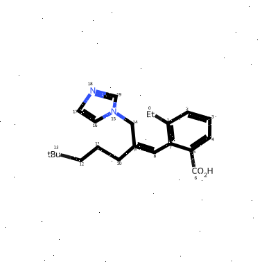 CCc1cccc(C(=O)O)c1C=C(CCCC(C)(C)C)Cn1ccnc1